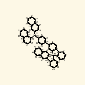 c1ccc2c(c1)-c1ccc(-c3ccc(N(c4ccc5ccccc5c4)c4cccc5ccccc45)cc3)cc1[C@]21c2ccccc2-c2cc3ccccc3cc21